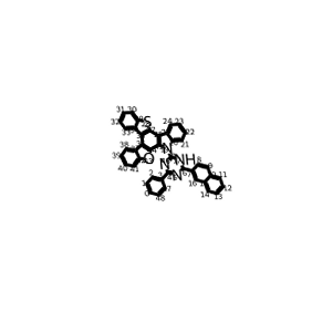 c1ccc(C2=NC(c3ccc4ccccc4c3)NC(n3c4ccccc4c4c5sc6ccccc6c5c5c6ccccc6oc5c43)=N2)cc1